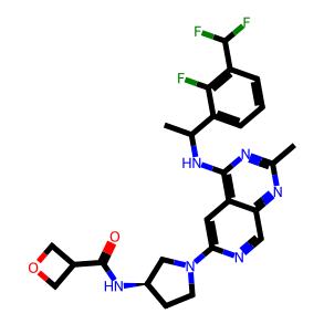 Cc1nc(NC(C)c2cccc(C(F)F)c2F)c2cc(N3CC[C@@H](NC(=O)C4COC4)C3)ncc2n1